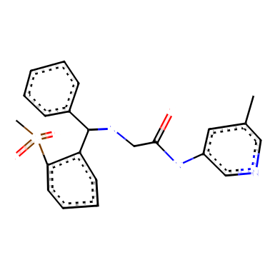 Cc1cncc(NC(=O)CNC(c2ccccc2)c2ccccc2S(C)(=O)=O)c1